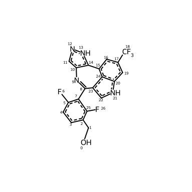 OCc1ccc(F)c(C2=Nc3cn[nH]c3-c3cc(C(F)(F)F)cc4[nH]cc2c34)c1F